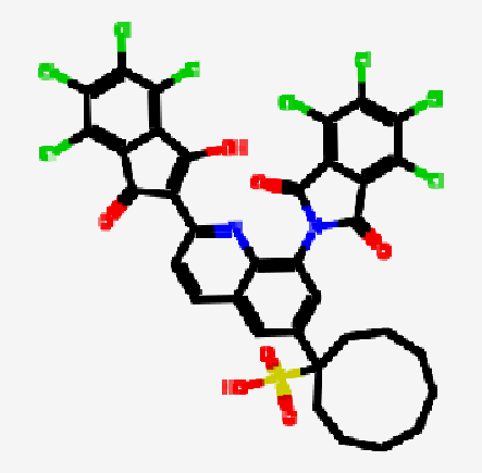 O=C1C(c2ccc3cc(C4(S(=O)(=O)O)CCCCCCCC4)cc(N4C(=O)c5c(Cl)c(Cl)c(Cl)c(Cl)c5C4=O)c3n2)=C(O)c2c(Cl)c(Cl)c(Cl)c(Cl)c21